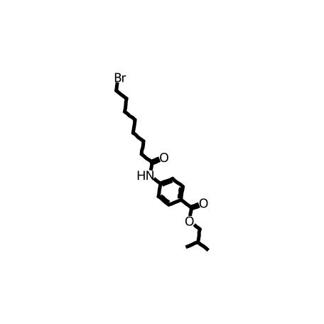 CC(C)COC(=O)c1ccc(NC(=O)CCCCCCCBr)cc1